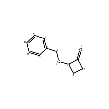 O=C1[CH]CN1OCc1ccccc1